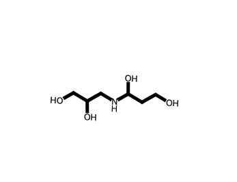 OCCC(O)NCC(O)CO